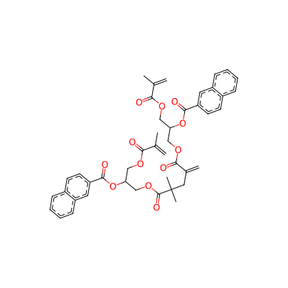 C=C(C)C(=O)OCC(COC(=O)C(=C)CC(C)(C)C(=O)OCC(COC(=O)C(=C)C)OC(=O)c1ccc2ccccc2c1)OC(=O)c1ccc2ccccc2c1